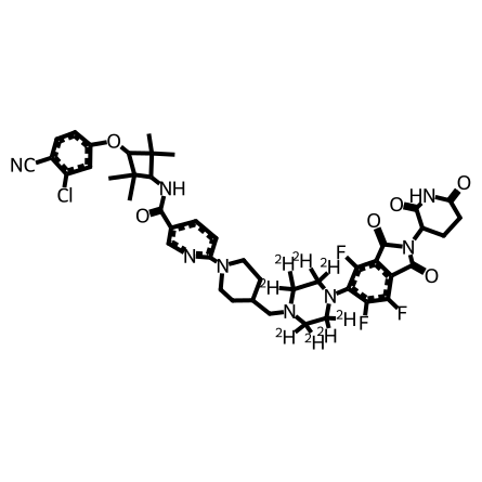 [2H]C1([2H])N(CC2CCN(c3ccc(C(=O)NC4C(C)(C)C(Oc5ccc(C#N)c(Cl)c5)C4(C)C)cn3)CC2)C([2H])([2H])C([2H])([2H])N(c2c(F)c(F)c3c(c2F)C(=O)N(C2CCC(=O)NC2=O)C3=O)C1([2H])[2H]